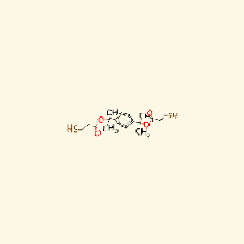 CC(C)(OC(=O)CCS)c1ccc(C(C)(C)OC(=O)CCS)cc1